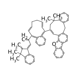 C=C(/C=C1\C(=C)C(C)(C)c2ccccc21)C1=c2/cccc/c2=C(\C2=C\c3c(ccc4c3oc3ccccc34)Cc3ccccc3C(C)(C)C2)/C=C/CC/C=C/1